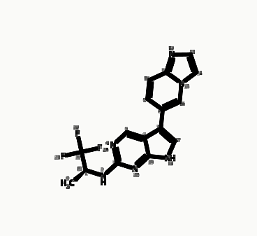 C[C@H](Nc1ncc2c(-c3ccc4nccn4c3)c[nH]c2n1)C(F)(F)F